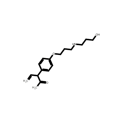 C=CC(C(C)=O)c1ccc(OCCCNCCCO)cc1